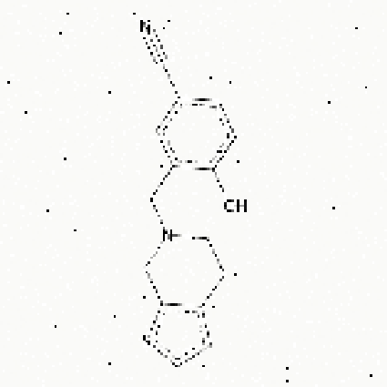 N#Cc1ccc(O)c(CN2CCc3ccsc3C2)c1